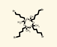 C[Si]1(CCCCBr)O[Si](C)(CCCCBr)O[Si](C)(CCCCBr)O[Si](C)(CCCCBr)O1